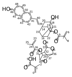 C=C(C)C(=O)O.C=C(C)C(=O)OC12CC3CC(CC(O)(C3)C1)C2.C=C(C)C(=O)OC1C2CC3C(=O)OC1C3O2.C=Cc1ccc2cc(O)ccc2c1